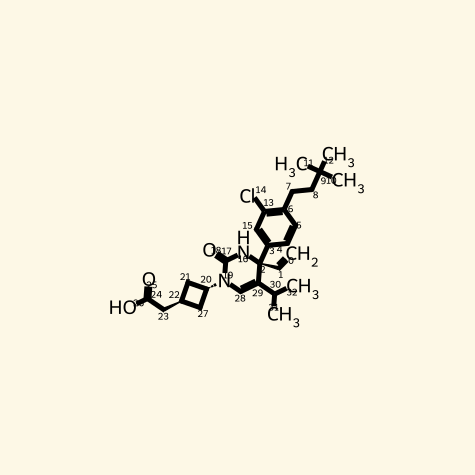 C=C[C@]1(c2ccc(CCC(C)(C)C)c(Cl)c2)NC(=O)N([C@H]2C[C@H](CC(=O)O)C2)C=C1C(C)C